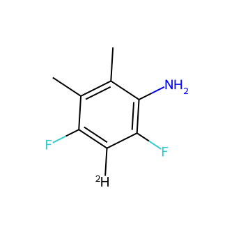 [2H]c1c(F)c(C)c(C)c(N)c1F